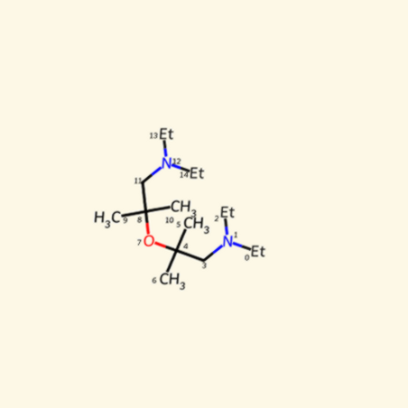 CCN(CC)CC(C)(C)OC(C)(C)CN(CC)CC